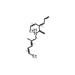 C=C/C=C(\C=C/CC)C(=C)NC/C(C)=C/C=C\CC